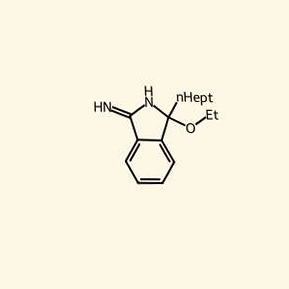 CCCCCCCC1(OCC)NC(=N)c2ccccc21